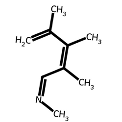 C=C(C)/C(C)=C(C)\C=N/C